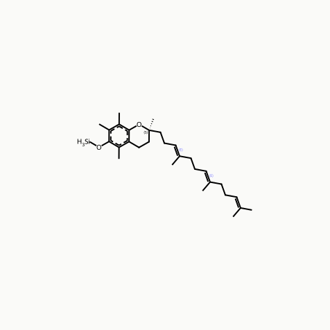 CC(C)=CCC/C(C)=C/CC/C(C)=C/CC[C@@]1(C)CCc2c(C)c(O[SiH3])c(C)c(C)c2O1